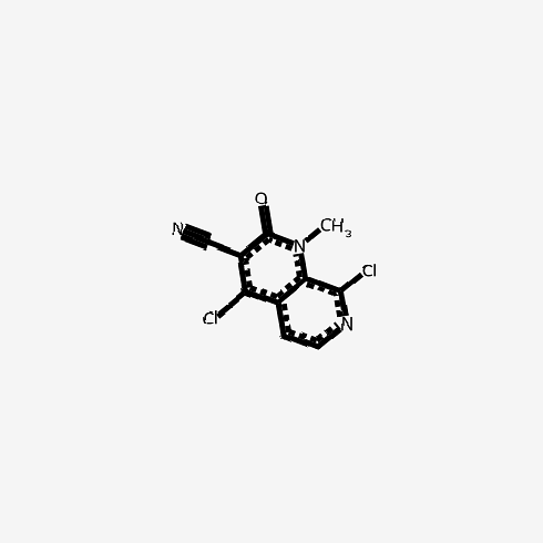 Cn1c(=O)c(C#N)c(Cl)c2ccnc(Cl)c21